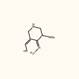 CCC/C=C1/CNCC(NC)/C1=N/C